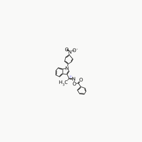 C/C(=N\OC(=O)c1ccccc1)c1cn(-c2ccc([N+](=O)[O-])cc2)c2ccccc12